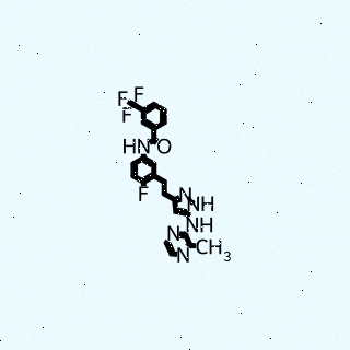 Cc1nccnc1Nc1cc(CCc2cc(NC(=O)c3cccc(C(F)(F)F)c3)ccc2F)n[nH]1